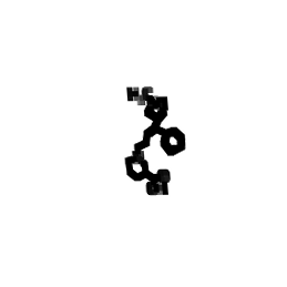 Cn1cc(/C(=C/CCN2CCCC(C(=O)O)C2)c2ccccc2)cn1